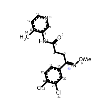 CO/N=C(\CCC(=O)Nc1cnccc1C)c1ccc(Cl)c(Cl)c1